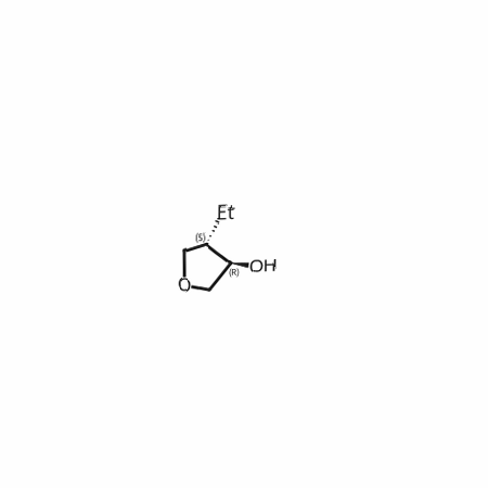 CC[C@H]1COC[C@@H]1O